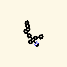 c1ccc(-c2ccc3c(-c4ccc(-c5cccc6c5ccc5cc7ccccc7cc56)cc4)c4ccccc4c(-c4ncccn4)c3c2)cc1